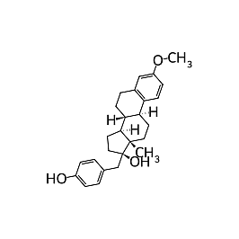 COc1ccc2c(c1)CC[C@@H]1[C@@H]2CC[C@@]2(C)[C@H]1CC[C@@]2(O)Cc1ccc(O)cc1